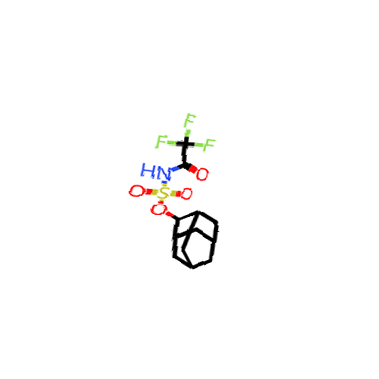 O=C(NS(=O)(=O)OC1C2CC3CC(C2)CC1C3)C(F)(F)F